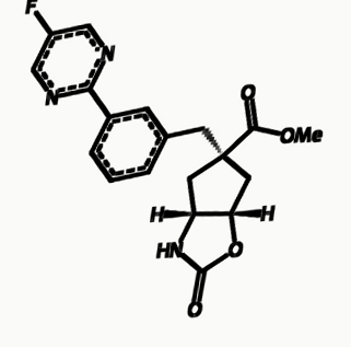 COC(=O)[C@@]1(Cc2cccc(-c3ncc(F)cn3)c2)C[C@@H]2OC(=O)N[C@@H]2C1